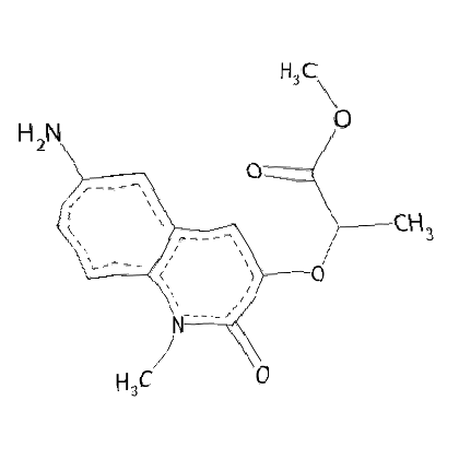 COC(=O)C(C)Oc1cc2cc(N)ccc2n(C)c1=O